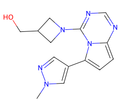 Cn1cc(-c2ccc3ncnc(N4CC(CO)C4)n23)cn1